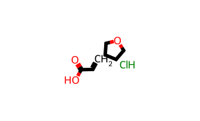 C1CCOC1.C=CC(=O)O.Cl